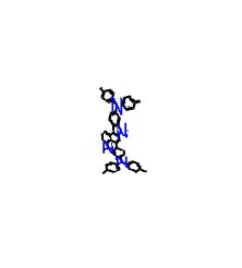 Cc1ccc(N(c2ccc(C)cc2)c2ccc3c(c2)N(C)c2cccc4c2c-3cc2c4c3ccc(N(c4ccc(C)cc4)c4ccc(C)cc4)cc3n2C)cc1